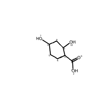 O=C(O)C1CCC(O)CC1O